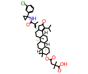 C/C(=C\[C@@]12CC[C@]3(C)[C@H](CC[C@@H]4[C@@]5(C)CC[C@H](OC(=O)CC(C)(C)C(=O)O)C(C)(C)[C@@H]5CC[C@]43C)C1=C(C(C)C)C(=O)C2)C(=O)NC1(c2cccc(Cl)c2)CC1